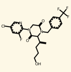 C=C(CCCO)C1C(=O)N(c2ncc(Cl)cc2F)CC(=O)N1Cc1ccc(C(F)(F)F)cc1